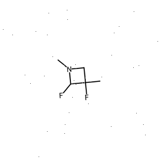 CN1CC(C)(F)C1F